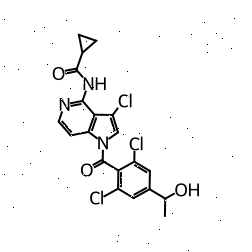 CC(O)c1cc(Cl)c(C(=O)n2cc(Cl)c3c(NC(=O)C4CC4)nccc32)c(Cl)c1